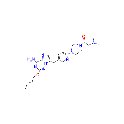 CCCCOc1nc(N)c2ncc(Cc3cnc(N4CCN(C(=O)CN(C)C)C(C)C4)c(C)c3)n2n1